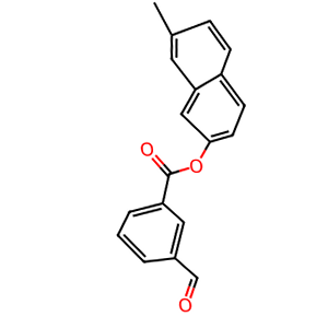 Cc1ccc2ccc(OC(=O)c3cccc(C=O)c3)cc2c1